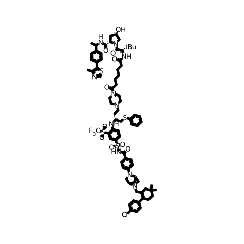 Cc1ncsc1-c1ccc(C(C)NC(=O)[C@@H]2C[C@@H](O)CN2C(=O)[C@@H](NC(=O)CCCCCC(=O)N2CCN(CC[C@H](CSc3ccccc3)Nc3ccc(S(=O)(=O)NC(=O)c4ccc(N5CC6CC5CN6CC5=C(c6ccc(Cl)cc6)CCC(C)(C)C5)cc4)cc3S(=O)(=O)C(F)(F)F)CC2)C(C)(C)C)cc1